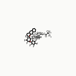 C=C(C)C(=O)OCCC[Si](OC)(OC)O[Si](OC)(O[Si](OC)(c1c(F)c(F)c(F)c(F)c1F)c1c(F)c(F)c(F)c(F)c1F)c1c2ccccc2cc2ccccc12